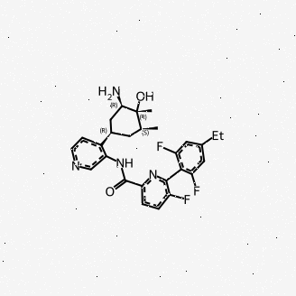 CCc1cc(F)c(-c2nc(C(=O)Nc3cnccc3[C@H]3C[C@@H](N)[C@](C)(O)[C@@H](C)C3)ccc2F)c(F)c1